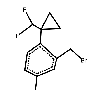 Fc1ccc(C2(C(F)F)CC2)c(CBr)c1